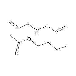 C=CCNCC=C.CCCCOC(C)=O